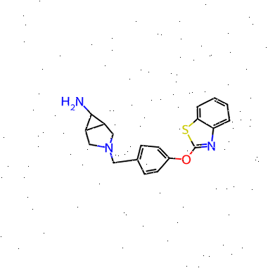 NC1C2CN(Cc3ccc(Oc4nc5ccccc5s4)cc3)CC12